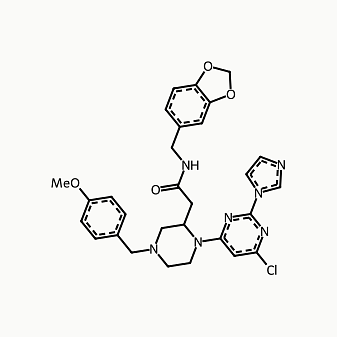 COc1ccc(CN2CCN(c3cc(Cl)nc(-n4ccnc4)n3)C(CC(=O)NCc3ccc4c(c3)OCO4)C2)cc1